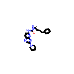 C[C@H](CCCc1ccccc1)NC(=O)Nc1ccc2ncc(N3CCCCC3)nc2n1